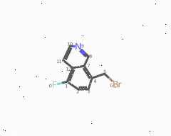 Fc1ccc(CBr)c2cnccc12